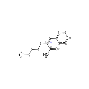 CCCCC/C(=C/c1ccccc1)C(=O)O